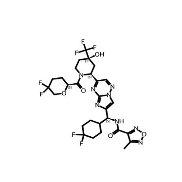 Cc1nonc1C(=O)N[C@H](c1cn2ncc([C@@H]3C[C@@](O)(C(F)(F)F)CCN3C(=O)[C@@H]3CCC(F)(F)CO3)nc2n1)C1CCC(F)(F)CC1